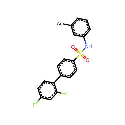 CC(=O)c1cccc(NS(=O)(=O)c2ccc(-c3ccc(F)cc3F)cc2)c1